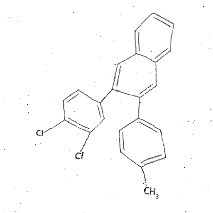 Cc1ccc(-c2cc3ccccc3[c]c2-c2ccc(Cl)c(Cl)c2)cc1